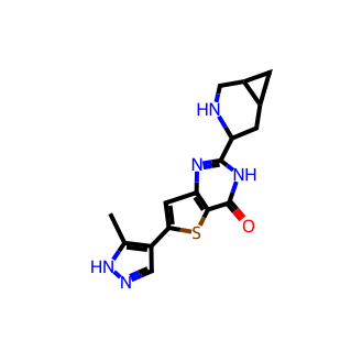 Cc1[nH]ncc1-c1cc2nc(C3CC4CC4CN3)[nH]c(=O)c2s1